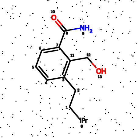 CC(C)CCc1cccc(C(N)=O)c1CO